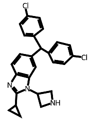 Clc1ccc(C(c2ccc(Cl)cc2)c2ccc3nc(C4CC4)n(C4CNC4)c3c2)cc1